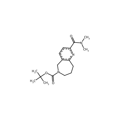 CN(C)C(=O)c1ccc2c(n1)CCCN(C(=O)OC(C)(C)C)C2